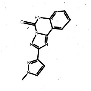 Cn1ccc(-c2nc3c4ccccc4[nH]c(=O)n3n2)n1